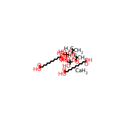 C=C(C)C(=O)OCC(CO)(CO)CO.C=C(C)C(=O)OCC(CO)(CO)CO.O=C(O)CCCCCCCCCCC(=O)O.O=C(O)CCCCCCCCCCC(=O)O.[CaH2]